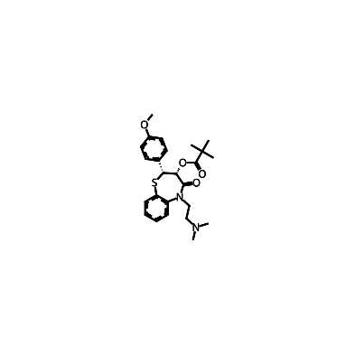 COc1ccc([C@H]2Sc3ccccc3N(CCN(C)C)C(=O)[C@H]2OC(=O)C(C)(C)C)cc1